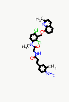 Cc1ccc2cccc(OCc3c(Cl)ccc(N(C)C(=O)CNC(=O)C=Cc4ccc(N)c(C)c4)c3Cl)c2n1